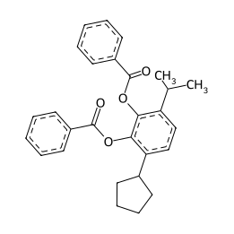 CC(C)c1ccc(C2CCCC2)c(OC(=O)c2ccccc2)c1OC(=O)c1ccccc1